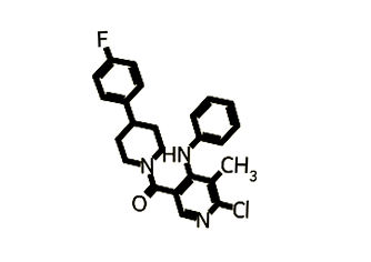 Cc1c(Cl)ncc(C(=O)N2CCC(c3ccc(F)cc3)CC2)c1Nc1ccccc1